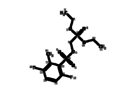 CCOP(=O)(COS(=O)(=O)c1c(F)ccc(F)c1C)OCC